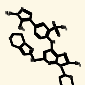 Cc1c(-c2ccc(Nc3cc(Nc4cc5n(n4)CCOC5)nc4c3nc(C)n4C3CCCCO3)c(S(C)(=O)=O)c2)cnn1C